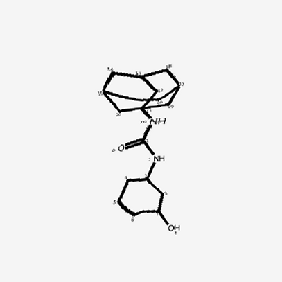 O=C(NC1CCCC(O)C1)NC12CC3CC(CC(C3)C1)C2